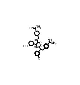 Cl.N=C(N)c1ccc(CC(C(=O)N[C@H](C(=O)NCC2CCN(C(=N)N)CC2)C2CCCCC2)c2cccc(Cl)c2)cc1